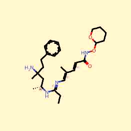 CC\C(=N/C=C(C)/C=C/C(=O)NOC1CCCCO1)N[C@H](C)CC(C)(N)CCc1ccccc1